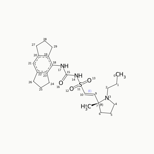 CCCN1CCC[C@]1(C)/C=C/S(=O)(=O)NC(=O)Nc1c2c(cc3c1CCC3)CCC2